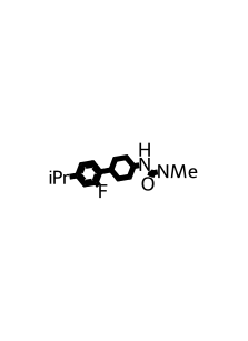 CNC(=O)NC1CCC(c2ccc(C(C)C)cc2F)CC1